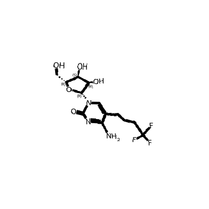 Nc1nc(=O)n([C@@H]2O[C@H](CO)[C@@H](O)[C@H]2O)cc1CCCC(F)(F)F